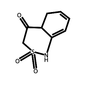 O=C1CS(=O)(=O)NC2=CC=CCC12